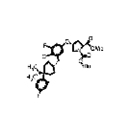 COC(=O)[C@@H]1C[C@H](Oc2cc(F)c(Cl)c(C[C@H]3CC[C@](c4ccc(F)cc4)(N(C)C)CC3)c2)CN1C(=O)OC(C)(C)C